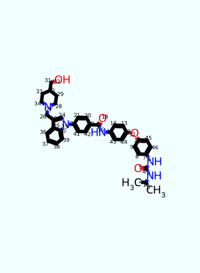 CC(C)NC(=O)Nc1ccc(Oc2ccc(NC(=O)c3ccc(-n4cc(CN5CCC(CO)CC5)c5ccccc54)cc3)cc2)cc1